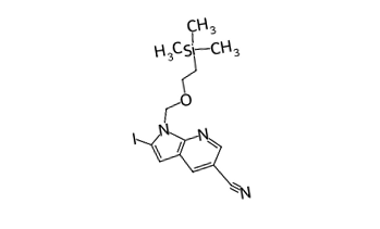 C[Si](C)(C)CCOCn1c(I)cc2cc(C#N)cnc21